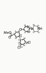 COC(=O)c1cc(Oc2cnc(N3CCNCC3)nc2)cc(-c2cc(Cl)cc(Cl)c2)c1